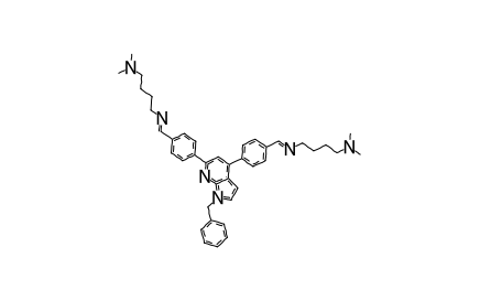 CN(C)CCCCN=Cc1ccc(-c2cc(-c3ccc(C=NCCCCN(C)C)cc3)c3ccn(Cc4ccccc4)c3n2)cc1